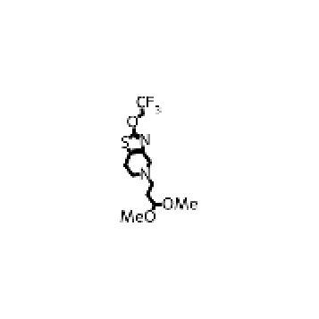 COC(CCN1CCc2sc(OCC(F)(F)F)nc2C1)OC